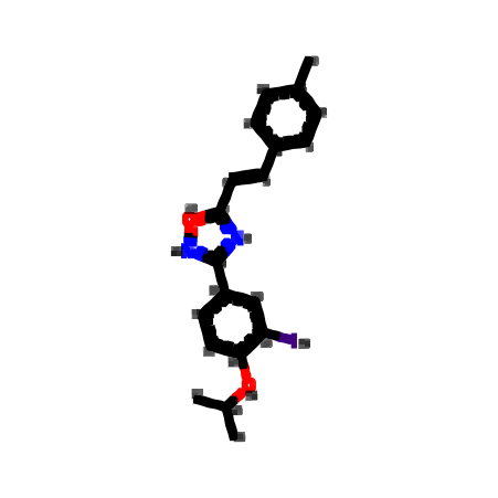 Cc1ccc(/C=C/c2nc(-c3ccc(OC(C)C)c(I)c3)no2)cc1